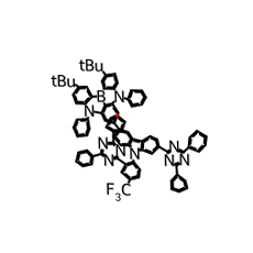 CC(C)(C)c1ccc2c(c1)B1c3cc(C(C)(C)C)ccc3N(c3ccccc3)c3cc(-c4ccc5c(c4)c4ccc(-c6nc(-c7ccccc7)nc(-c7ccccc7)n6)cc4n5-c4ccc(C(F)(F)F)cc4-c4nc(-c5ccccc5)nc(-c5ccccc5)n4)cc(c31)N2c1ccccc1